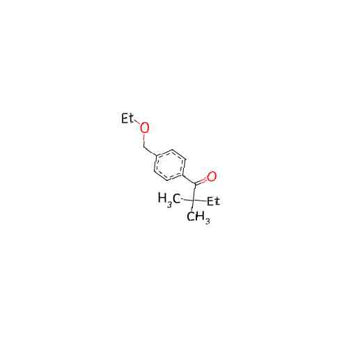 CCOCc1ccc(C(=O)C(C)(C)CC)cc1